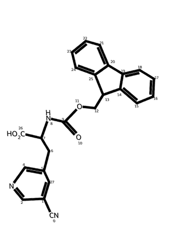 N#Cc1cncc(CC(NC(=O)OCC2c3ccccc3-c3ccccc32)C(=O)O)c1